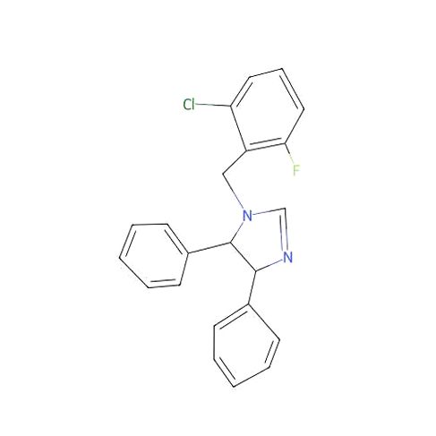 Fc1cccc(Cl)c1CN1C=NC(c2ccccc2)C1c1ccccc1